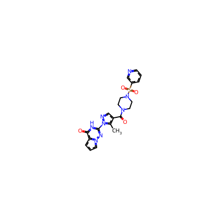 Cc1c(C(=O)N2CCN(S(=O)(=O)c3cccnc3)CC2)cnn1-c1nn2cccc2c(=O)[nH]1